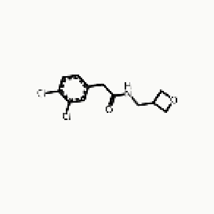 O=C(Cc1ccc(Cl)c(Cl)c1)NCC1COC1